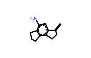 C=C1CCc2c1cc(N)c1c2CCC1